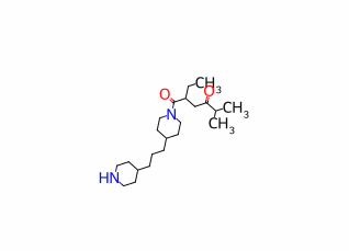 CCC(CC(=O)C(C)C)C(=O)N1CCC(CCCC2CCNCC2)CC1